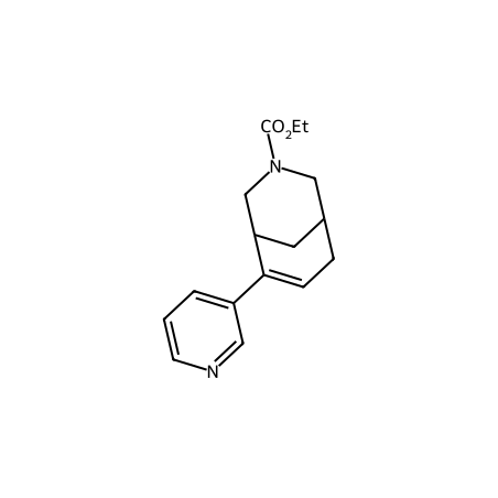 CCOC(=O)N1CC2CC=C(c3cccnc3)C(C2)C1